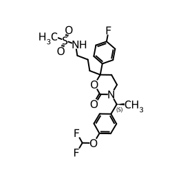 C[C@@H](c1ccc(OC(F)F)cc1)N1CCC(CCCNS(C)(=O)=O)(c2ccc(F)cc2)OC1=O